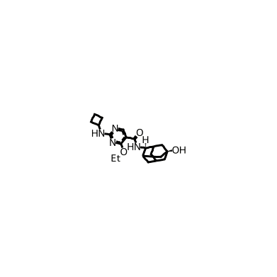 CCOc1nc(NC2CCC2)ncc1C(=O)N[C@H]1C2CC3CC1C[C@@](O)(C3)C2